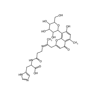 C/C(Cc1cc(=O)c2c(C)cc(O)c(C3OC(CO)C(O)C(O)C3O)c2o1)=N/CCC(=O)NC(Cc1cnc[nH]1)C(=O)O